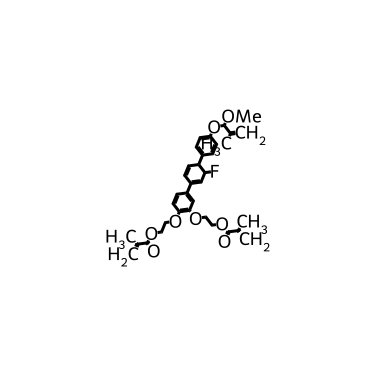 C=C(C)C(=O)OCCOc1ccc(C2=CC(F)C(c3ccc(OC(OC)C(=C)C)cc3)C=C2)cc1OCCOC(=O)C(=C)C